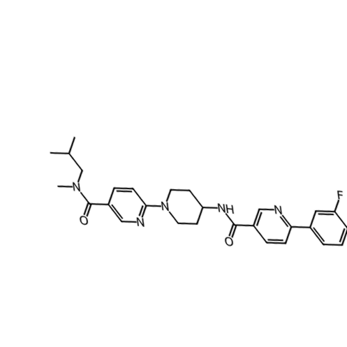 CC(C)CN(C)C(=O)c1ccc(N2CCC(NC(=O)c3ccc(-c4cccc(F)c4)nc3)CC2)nc1